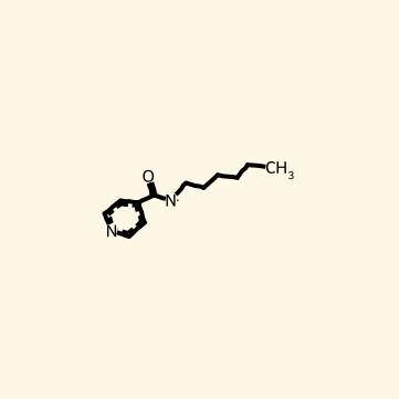 CCCCCC[N]C(=O)c1ccncc1